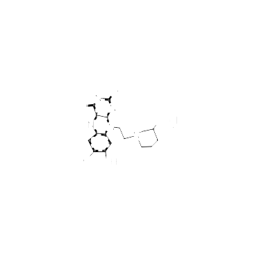 CCOC(=O)C1CCCN(CCn2c3nc(=O)[nH]c(=O)c-3nc3cc(C)c(C)cc32)C1